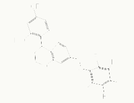 Oc1cc(C(F)(F)F)ccc1C1CCOc2cc(SOc3c(F)c(F)c(F)c(F)c3F)ccc21